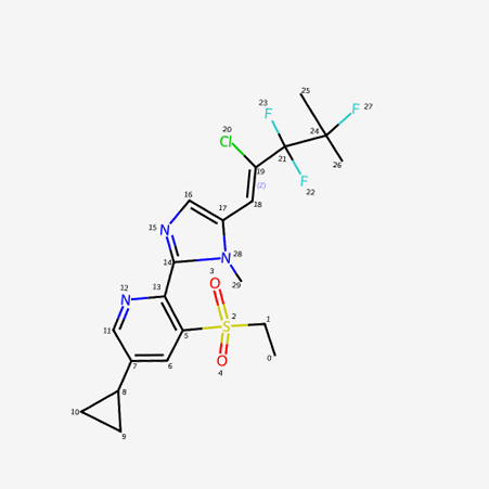 CCS(=O)(=O)c1cc(C2CC2)cnc1-c1ncc(/C=C(\Cl)C(F)(F)C(C)(C)F)n1C